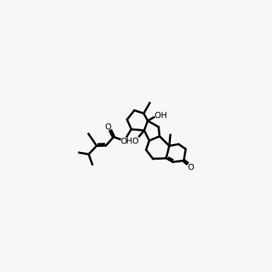 C/C(=C\C(=O)OC1CCC(C)C2(O)CC3C(CCC4=CC(=O)CCC43C)C12O)C(C)C